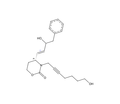 O=C1OCC[C@H](/C=C/C(O)Cc2ccccc2)N1CC#CCCCCO